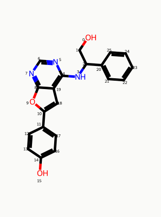 OCC(Nc1ncnc2oc(-c3ccc(O)cc3)cc12)c1ccccc1